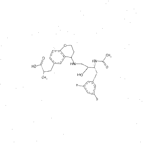 CC(=O)NC(Cc1cc(F)cc(F)c1)C(O)CNC1CCOc2ccc(CC(C)C(=O)O)cc21